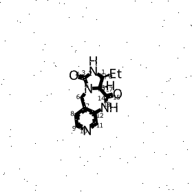 CC[C@@H]1NC(=O)N2Cc3ccncc3NC(=O)[C@H]12